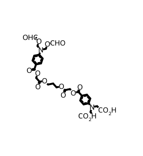 O=COCN(COC=O)c1ccc(C(=O)OCC(=O)OCCCOC(=O)COC(=O)c2ccc(N(CC(=O)O)CC(=O)O)cc2)cc1